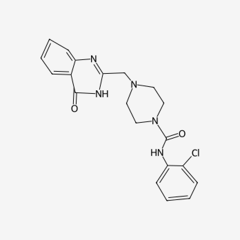 O=C(Nc1ccccc1Cl)N1CCN(Cc2nc3ccccc3c(=O)[nH]2)CC1